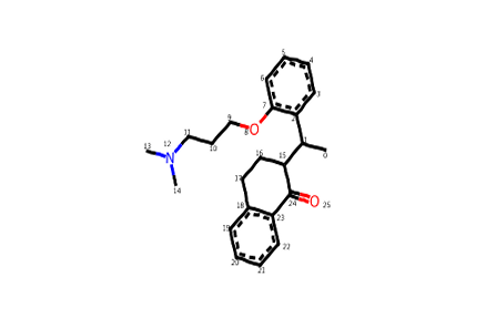 CC(c1ccccc1OCCCN(C)C)C1CCc2ccccc2C1=O